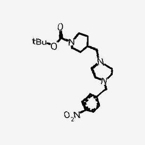 CC(C)(C)OC(=O)N1CCC(CN2CCN(Cc3ccc([N+](=O)[O-])cc3)CC2)CC1